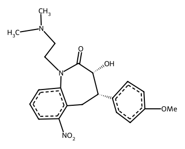 COc1ccc([C@@H]2Cc3c(cccc3[N+](=O)[O-])N(CCN(C)C)C(=O)[C@@H]2O)cc1